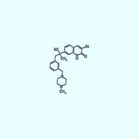 CCc1cc2ccc(C(C)(C#N)Cc3cccc(CN4CCN(C)CC4)c3)cc2[nH]c1=O